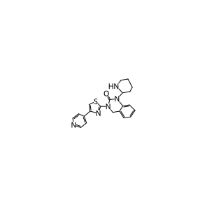 O=C1N(c2nc(-c3ccncc3)cs2)Cc2ccccc2N1C1CCCCN1